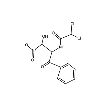 O=C(NC(C(=O)c1ccccc1)C(O)[N+](=O)[O-])C(Cl)Cl